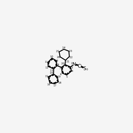 S=C=Nc1cccc(-c2ccccc2-c2ccccc2)c1C1CCCCC1